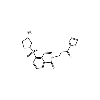 N[C@H]1CCN(S(=O)(=O)c2cccc3c(=O)n(COC(=O)c4cccs4)ccc23)C1